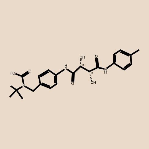 Cc1ccc(NC(=O)[C@H](O)[C@@H](O)C(=O)Nc2ccc(CN(C(=O)O)C(C)(C)C)cc2)cc1